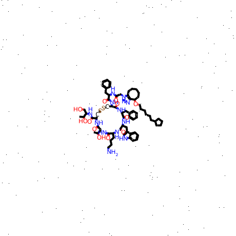 CC(O)C(CO)NC(=O)C1CSSCC(NC(=O)C(Cc2ccccc2)NC(=O)Cn2nnc3c2CCCCCC3OCCCCCCC2CCCC2)C(=O)NC(Cc2ccccc2)C(=O)NC(Cc2c[nH]c3ccccc23)C(=O)NC(CCCCN)C(=O)NC(C(C)O)C(=O)N1